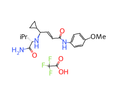 COc1ccc(NC(=O)/C=C/[C@@H](N[C@H](C(N)=O)C(C)C)C2CC2)cc1.O=C(O)C(F)(F)F